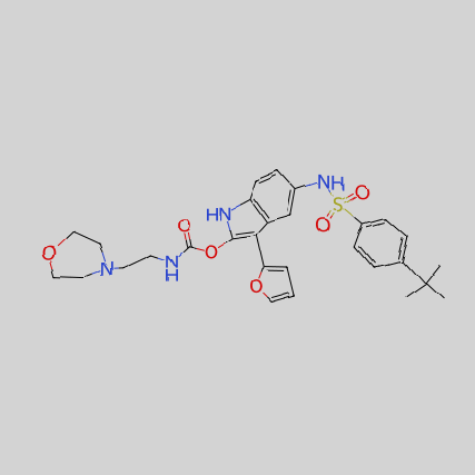 CC(C)(C)c1ccc(S(=O)(=O)Nc2ccc3[nH]c(OC(=O)NCCN4CCOCC4)c(-c4ccco4)c3c2)cc1